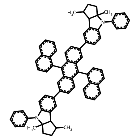 CC1CCC2(C)C1c1cc(-c3ccc4c(-c5cccc6ccccc56)c5cc(-c6ccc7c(c6)C6C(C)CCC6(C)N7c6ccccc6)ccc5c(-c5cccc6ccccc56)c4c3)ccc1N2c1ccccc1